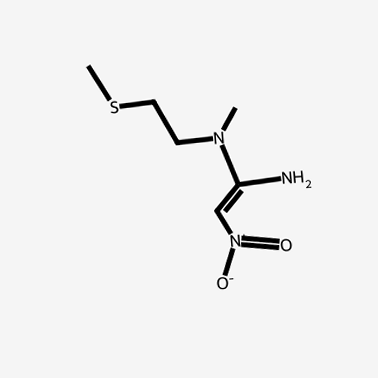 CSCCN(C)/C(N)=C/[N+](=O)[O-]